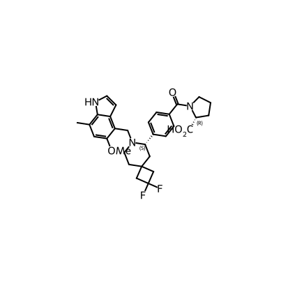 COc1cc(C)c2[nH]ccc2c1CN1CCC2(C[C@H]1c1ccc(C(=O)N3CCC[C@@H]3C(=O)O)cc1)CC(F)(F)C2